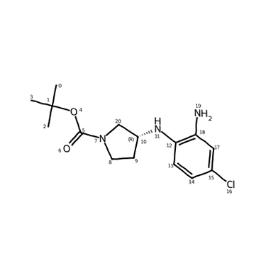 CC(C)(C)OC(=O)N1CC[C@@H](Nc2ccc(Cl)cc2N)C1